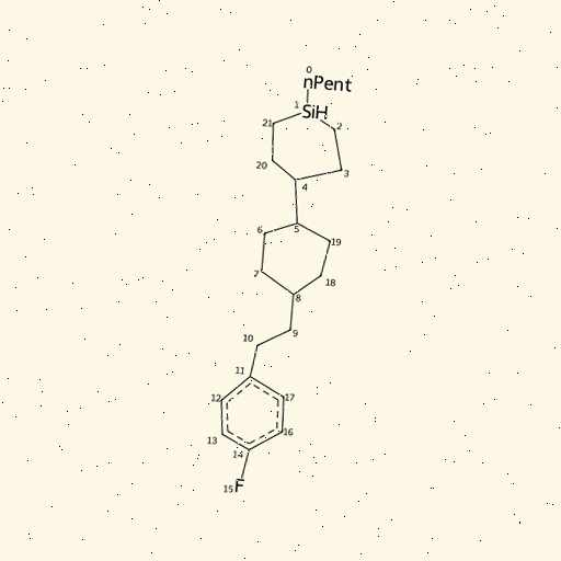 CCCCC[SiH]1CCC(C2CCC(CCc3ccc(F)cc3)CC2)CC1